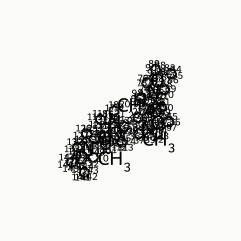 Cc1cccc(N(c2cc3oc4cc(N(c5cccc(C)c5)c5cc(-c6ccc7c(c6)c(N(c6ccccc6C)c6cccc8c6oc6c(-c9ccccc9)cccc68)cc6oc8cc(N(c9ccccc9C)c9cccc%10c9oc9c(-c%11ccccc%11)cccc9%10)c9ccccc9c8c67)cc6c5oc5c(-c7ccccc7)cccc56)c5ccccc5c4c3c3ccccc23)c2cccc3c2oc2c(-c4ccccc4)cccc23)c1